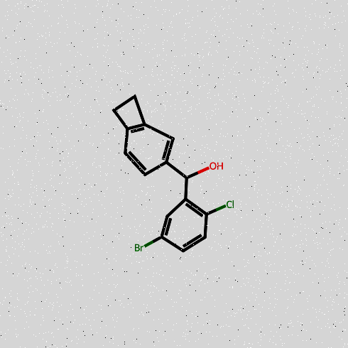 OC(c1ccc2c(c1)CC2)c1cc(Br)ccc1Cl